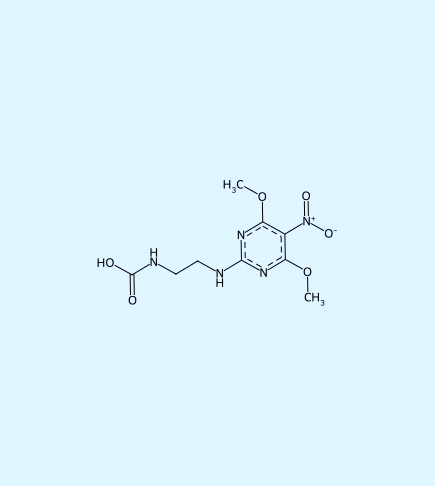 COc1nc(NCCNC(=O)O)nc(OC)c1[N+](=O)[O-]